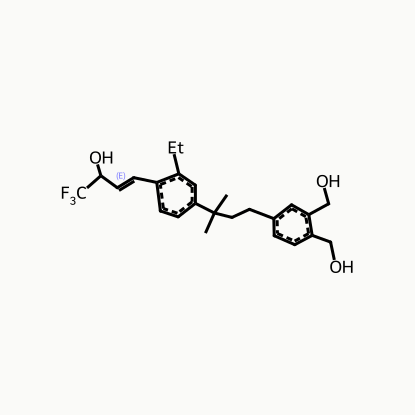 CCc1cc(C(C)(C)CCc2ccc(CO)c(CO)c2)ccc1/C=C/C(O)C(F)(F)F